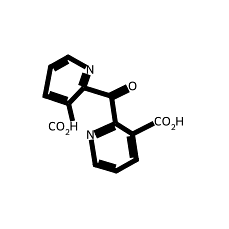 O=C(O)c1cccnc1C(=O)c1ncccc1C(=O)O